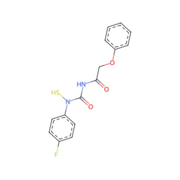 O=C(COc1ccccc1)NC(=O)N(S)c1ccc(F)cc1